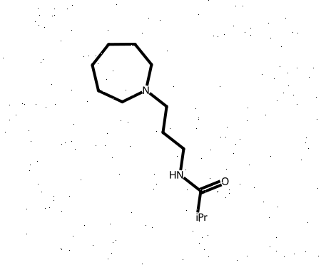 CC(C)C(=O)NCCCN1CCCCCC1